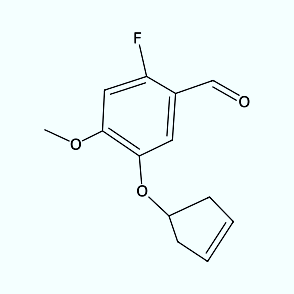 COc1cc(F)c(C=O)cc1OC1CC=CC1